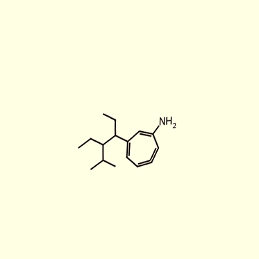 CCC(C1=CC=C=CC(N)=C1)C(CC)C(C)C